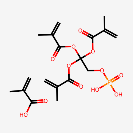 C=C(C)C(=O)O.C=C(C)C(=O)OC(COP(=O)(O)O)(OC(=O)C(=C)C)OC(=O)C(=C)C